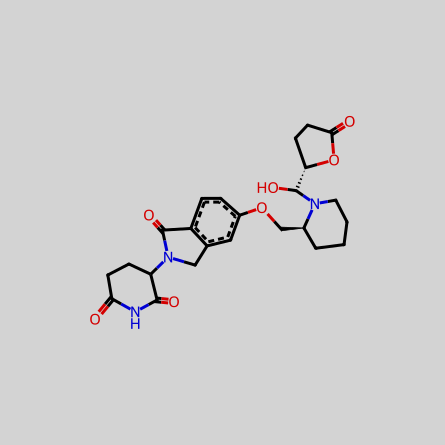 O=C1CCC(N2Cc3cc(OC[C@@H]4CCCCN4C(O)[C@@H]4CCC(=O)O4)ccc3C2=O)C(=O)N1